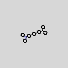 c1ccc(N(c2ccc(-c3ccc(-c4ccc(C(c5ccccc5)C5C=CC=CC5)cc4)cc3)cc2)C2C=CCCC2)cc#1